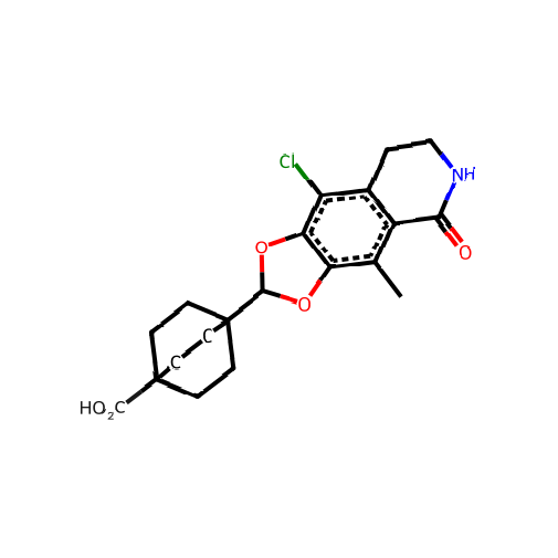 Cc1c2c(c(Cl)c3c1C(=O)NCC3)OC(C13CCC(C(=O)O)(CC1)CC3)O2